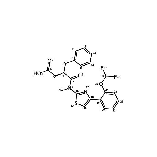 CN(C(=O)[C@@H](CC(=O)O)Cc1ccccc1)c1nc(-c2ccccc2OC(F)F)cs1